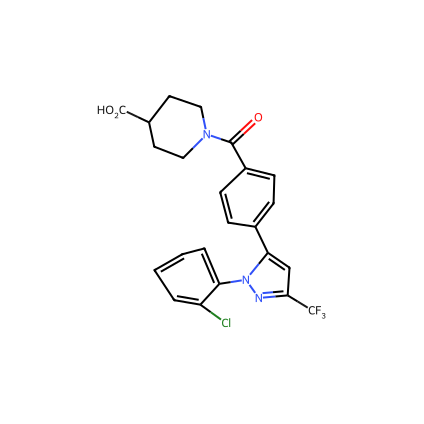 O=C(O)C1CCN(C(=O)c2ccc(-c3cc(C(F)(F)F)nn3-c3ccccc3Cl)cc2)CC1